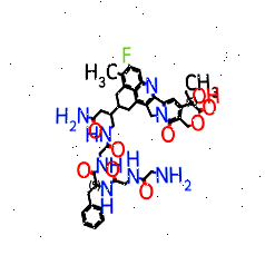 CC[C@@]1(O)C(=O)OCc2c1cc1n(c2=O)Cc2c-1nc1cc(F)c(C)c3c1c2CC(C(CNC(=O)CNC(=O)[C@H](Cc1ccccc1)NC(=O)CNC(=O)CN)CC(N)=O)C3